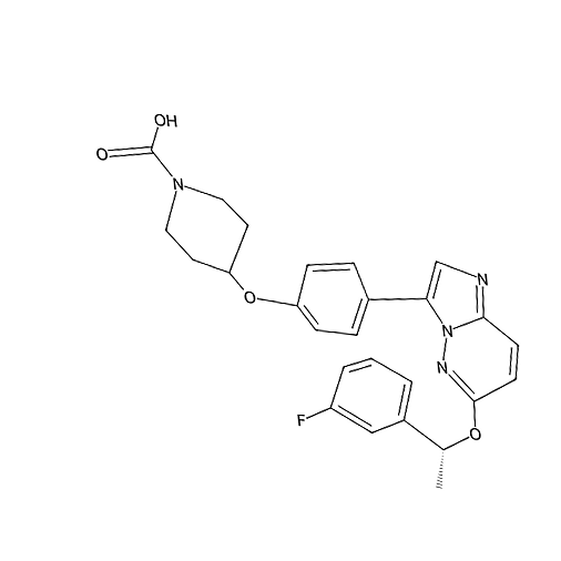 C[C@@H](Oc1ccc2ncc(-c3ccc(OC4CCN(C(=O)O)CC4)cc3)n2n1)c1cccc(F)c1